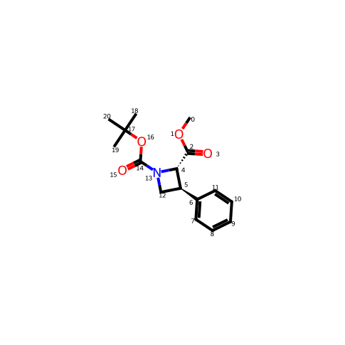 COC(=O)[C@@H]1[C@@H](c2ccccc2)CN1C(=O)OC(C)(C)C